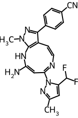 Cc1cc(C(F)F)n(-c2cc(N)[nH]c3c(ccn2)c(-c2ccc(C#N)cc2)nn3C)n1